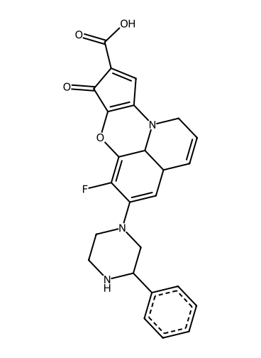 O=C(O)C1=CC2=C(OC3=C(F)C(N4CCNC(c5ccccc5)C4)=CC4C=CCN2C34)C1=O